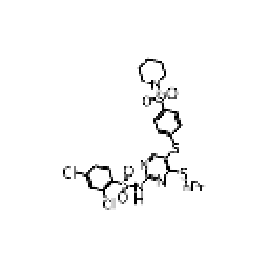 CCCSc1nc(NS(=O)(=O)c2ccc(Cl)cc2Cl)ncc1Sc1ccc(S(=O)(=O)N2CCCCC2)cc1